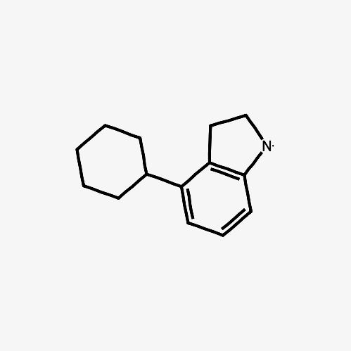 c1cc2c(c(C3CCCCC3)c1)CC[N]2